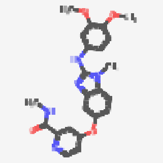 CNC(=O)c1cc(Oc2ccc3c(c2)nc(Nc2ccc(OC)c(OC)c2)n3C)ccn1